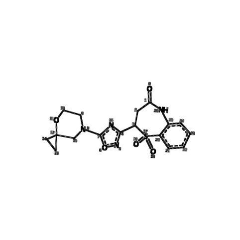 O=C1CC(c2noc(N3CCOC4(CC4)C3)n2)S(=O)(=O)c2ccccc2N1